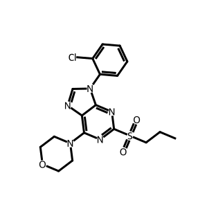 CCCS(=O)(=O)c1nc(N2CCOCC2)c2ncn(-c3ccccc3Cl)c2n1